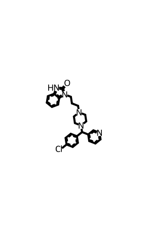 O=c1[nH]c2ccccc2n1CCCN1CCN(C(c2ccc(Cl)cc2)c2cccnc2)CC1